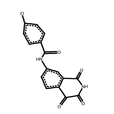 O=C1NC(=O)c2cc(NC(=O)c3ccc(Cl)cc3)ccc2C1=O